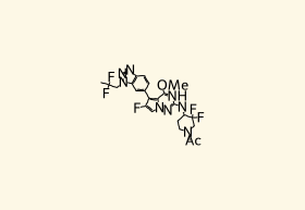 COc1nc(N[C@@H]2CCN(C(C)=O)CC2(F)F)nn2cc(F)c(-c3ccc4nnn(CC(C)(F)F)c4c3)c12